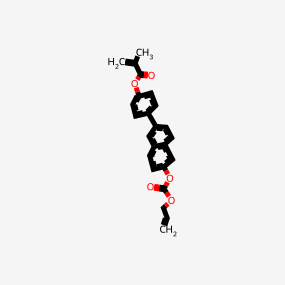 C=CCOC(=O)Oc1ccc2cc(-c3ccc(OC(=O)C(=C)C)cc3)ccc2c1